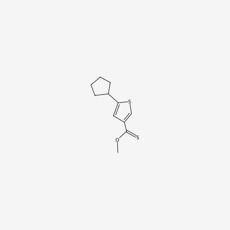 COC(=S)c1csc(C2CCCC2)c1